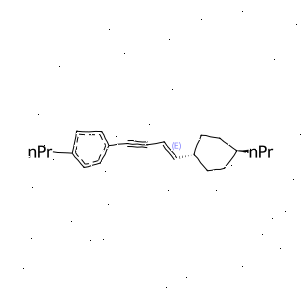 CCCc1ccc(C#C/C=C/[C@H]2CC[C@H](CCC)CC2)cc1